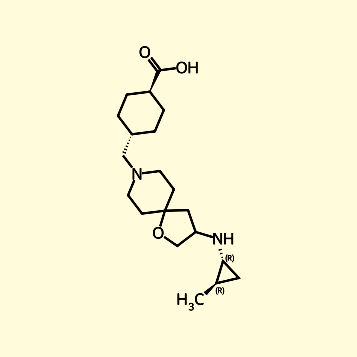 C[C@@H]1C[C@H]1NC1COC2(CCN(C[C@H]3CC[C@H](C(=O)O)CC3)CC2)C1